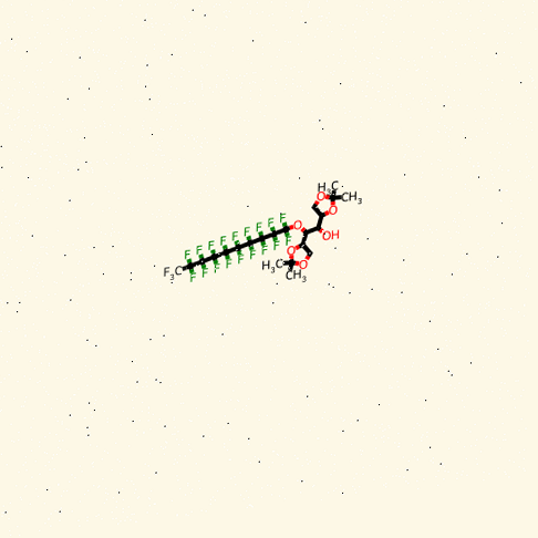 CC1(C)OCC(C(O)C(OC(F)(F)C(F)(F)C(F)(F)C(F)(F)C(F)(F)C(F)(F)C(F)(F)C(F)(F)C(F)(F)C(F)(F)F)C2COC(C)(C)O2)O1